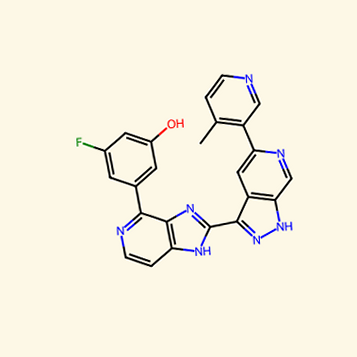 Cc1ccncc1-c1cc2c(-c3nc4c(-c5cc(O)cc(F)c5)nccc4[nH]3)n[nH]c2cn1